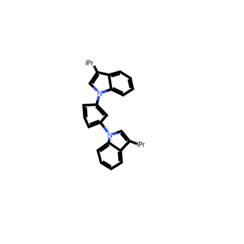 CC(C)c1cn(-c2cccc(-n3cc(C(C)C)c4ccccc43)c2)c2ccccc12